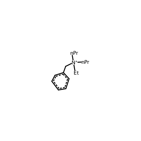 CCC[N+](CC)(CCC)Cc1ccccc1